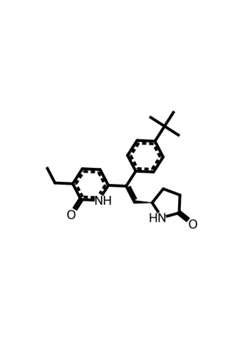 CCc1ccc(C(=C[C@H]2CCC(=O)N2)c2ccc(C(C)(C)C)cc2)[nH]c1=O